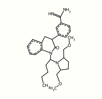 CCCCC(N1C(=O)C(c2cccc(C(=N)N)c2)Cc2ccccc21)N1C(COC)CCC1COC